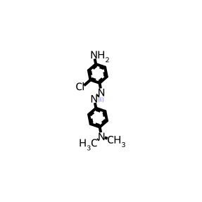 CN(C)c1ccc(/N=N/c2ccc(N)cc2Cl)cc1